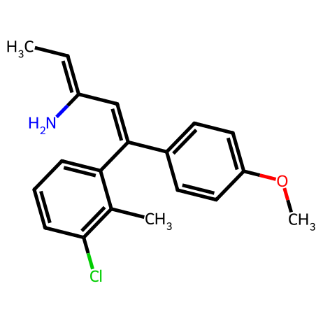 C/C=C(N)/C=C(/c1ccc(OC)cc1)c1cccc(Cl)c1C